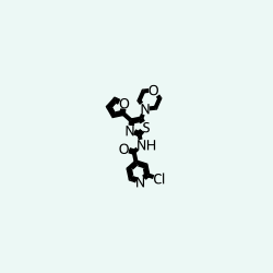 O=C(Nc1nc(-c2ccco2)c(N2CCOCC2)s1)c1ccnc(Cl)c1